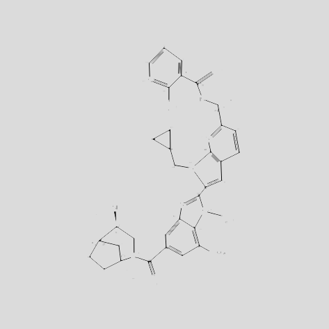 COc1cc(C(=O)N2C[C@H](N)[C@@H]3CC[C@H]2C3)cc2nc(-c3cc4ccc([C@@H](C)NC(=O)c5cccnc5C(F)(F)F)nc4n3CC3CC3)n(C)c12